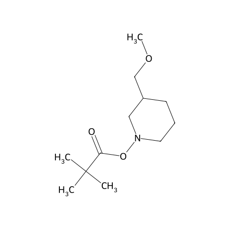 COCC1CCCN(OC(=O)C(C)(C)C)C1